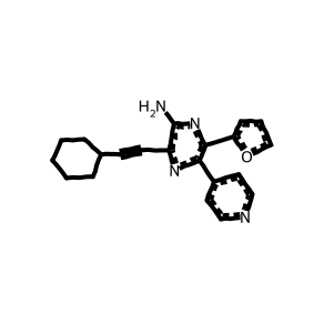 Nc1nc(-c2ccco2)c(-c2ccncc2)nc1C#CC1CCCCC1